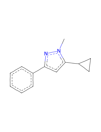 Cn1nc(-c2ccccc2)cc1C1CC1